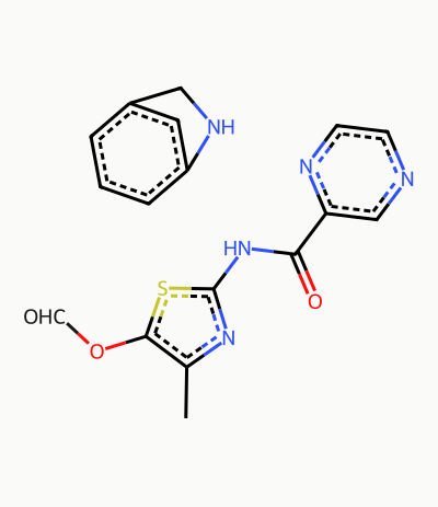 Cc1nc(NC(=O)c2cnccn2)sc1OC=O.c1cc2cc(c1)NC2